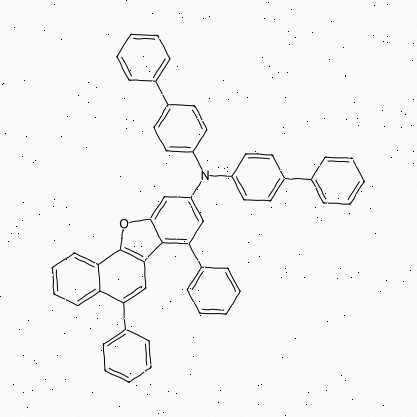 c1ccc(-c2ccc(N(c3ccc(-c4ccccc4)cc3)c3cc(-c4ccccc4)c4c(c3)oc3c5ccccc5c(-c5ccccc5)cc34)cc2)cc1